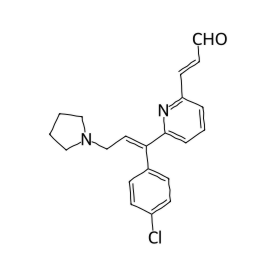 O=C/C=C/c1cccc(/C(=C/CN2CCCC2)c2ccc(Cl)cc2)n1